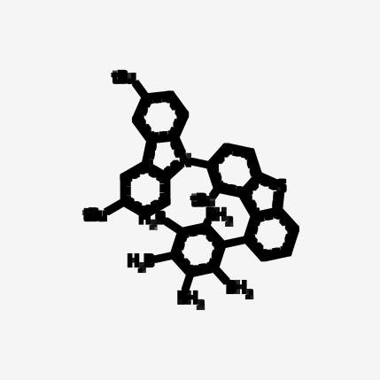 Bc1c(B)c(B)c(-c2cccc3sc4ccc(-n5c6ccc(C(C)(C)C)cc6c6cc(C(C)(C)C)ccc65)c(C(C)(C)C)c4c23)c(B)c1B